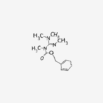 CN=C(N(C)C)N(C)C(=O)OCc1ccccc1